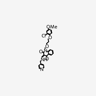 COc1ccc(OCCCOCN2C(=O)C(=CNCc3ccncc3)C(=O)c3ccccc32)c(Cl)c1